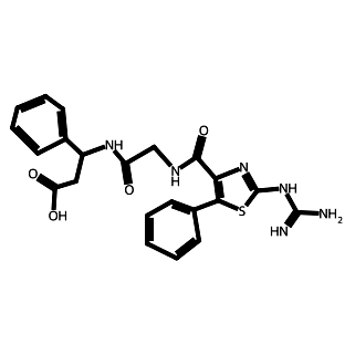 N=C(N)Nc1nc(C(=O)NCC(=O)NC(CC(=O)O)c2ccccc2)c(-c2ccccc2)s1